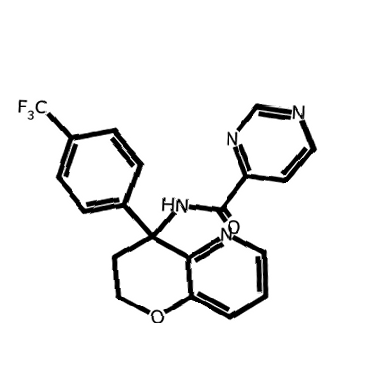 O=C(NC1(c2ccc(C(F)(F)F)cc2)CCOc2cccnc21)c1ccncn1